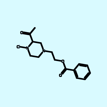 CC(=O)C1CN(CCOC(=O)c2ccccc2)CCN1Cl